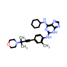 Cc1cc(C#CC(C)(C)N2CCOCC2)ccc1Nc1nc(NC2CCCCC2)c2ncnc-2[nH]1